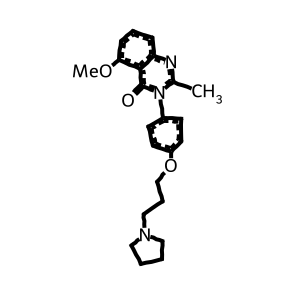 COc1cccc2nc(C)n(-c3ccc(OCCCN4CCCC4)cc3)c(=O)c12